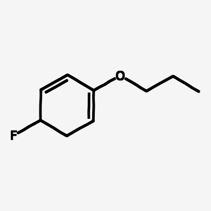 CCCOC1=CCC(F)C=C1